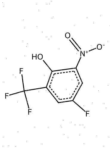 O=[N+]([O-])c1cc(F)cc(C(F)(F)F)c1O